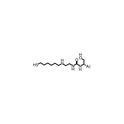 CC(=O)[C@H](CO)NC(=O)NCCNCCCCCCS